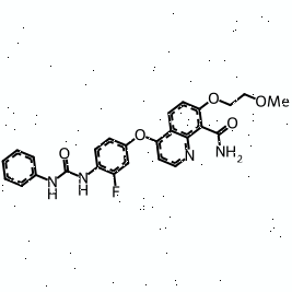 COCCOc1ccc2c(Oc3ccc(NC(=O)Nc4ccccc4)c(F)c3)ccnc2c1C(N)=O